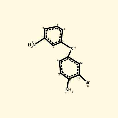 Nc1cccc(Sc2ccc(N)c(Br)c2)c1